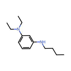 CCCCNc1cccc(N(CC)CC)c1